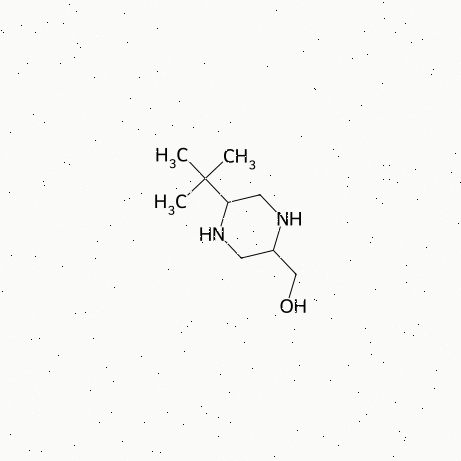 CC(C)(C)C1CNC(CO)CN1